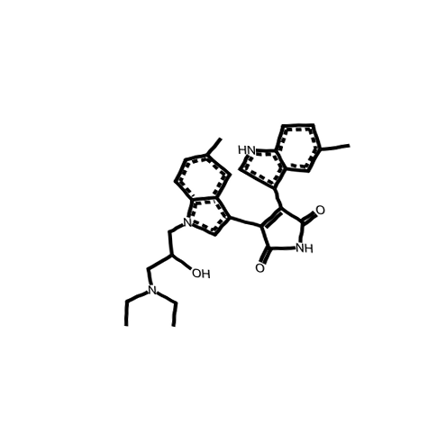 CCN(CC)CC(O)Cn1cc(C2=C(c3c[nH]c4ccc(C)cc34)C(=O)NC2=O)c2cc(C)ccc21